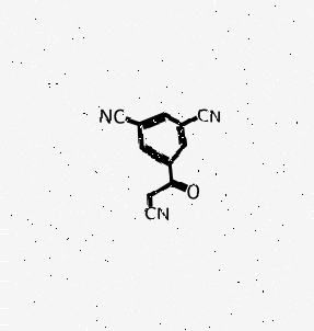 N#CCC(=O)c1cc(C#N)cc(C#N)c1